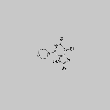 CCc1nc2c([nH]1)c(N1CCOCC1)nc(=S)n2CC